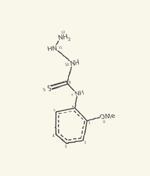 COc1ccccc1NC(=S)NNN